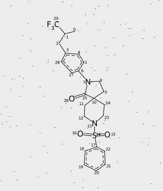 CC(Cc1ccc(N2CCC3(CCN(S(=O)(=O)c4ccccc4)CC3)C2=O)cc1)C(F)(F)F